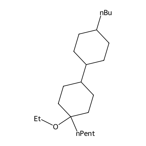 CCCCCC1(OCC)CCC(C2CCC(CCCC)CC2)CC1